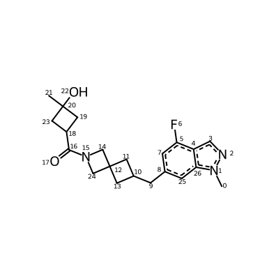 Cn1ncc2c(F)cc(CC3CC4(C3)CN(C(=O)C3CC(C)(O)C3)C4)cc21